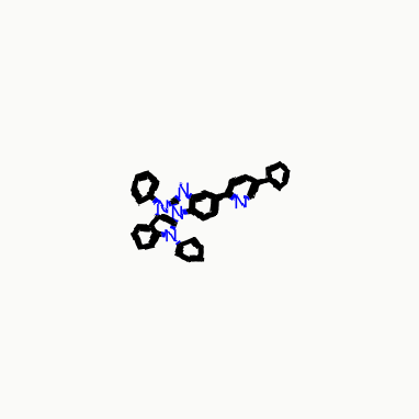 c1ccc(-c2ccc(-c3ccc4c(c3)nc3n(-c5ccccc5)c5c6ccccc6n(-c6ccccc6)c5n43)nc2)cc1